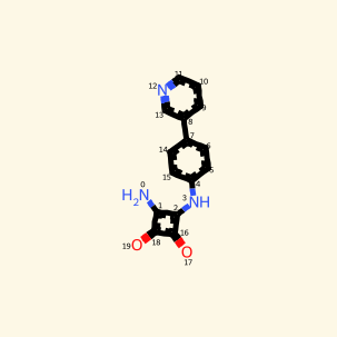 Nc1c(Nc2ccc(-c3cccnc3)cc2)c(=O)c1=O